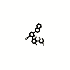 Cc1ccc2c(oc3c(-c4ccc5ccccc5c4)ccc(C#N)c32)c1-c1cc(F)cc[n+]1C